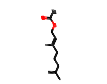 C=C(C)CCC/C(C)=C/COC(=O)CC